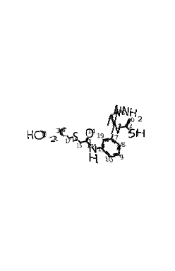 C=C(S)N(/N=N\N)c1cccc(NC(=O)CSCC(=O)O)c1